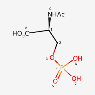 CC(=O)N[C@@H](COP(=O)(O)O)C(=O)O